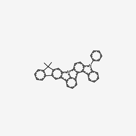 CC1(C)c2ccccc2-c2cc3c4cccc5c6c7c8ccccc8n(-c8ccccc8)c7ccc6n(c3cc21)c45